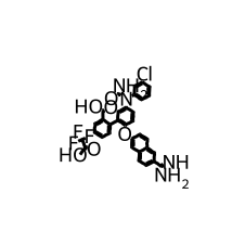 N=C(N)c1ccc2cc(Oc3ccc(N(C(N)=O)c4cccc(Cl)c4)cc3-c3ccccc3C(=O)O)ccc2c1.O=C(O)C(F)(F)F